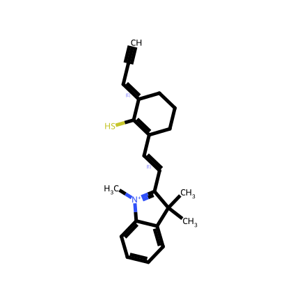 C#C/C=C1\CCCC(/C=C/C2=[N+](C)c3ccccc3C2(C)C)=C1S